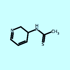 CC(=S)NC1C=CC=NC1